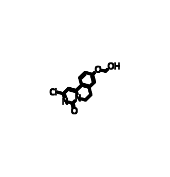 O=c1nc(Cl)cc2n1CCc1cc(OCO)ccc1-2